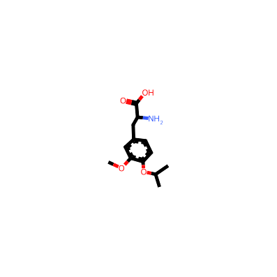 COc1cc(CC(N)C(=O)O)ccc1OC(C)C